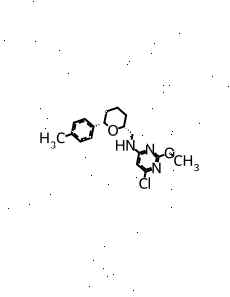 COc1nc(Cl)cc(NC[C@H]2CCC[C@@H](c3ccc(C)cc3)O2)n1